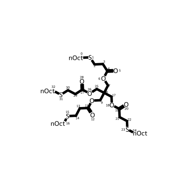 CCCCCCCCSCCC(=O)OCC(COC(=O)CCSCCCCCCCC)(COC(=O)CCSCCCCCCCC)COC(=O)CCSCCCCCCCC